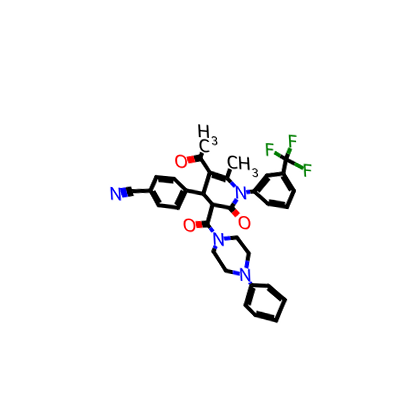 CC(=O)C1=C(C)N(c2cccc(C(F)(F)F)c2)C(=O)C(C(=O)N2CCN(c3ccccc3)CC2)C1c1ccc(C#N)cc1